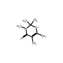 CC1=C(C)C(=O)N(C)C(C)(C)O1